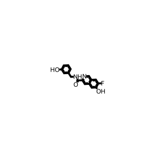 O=C(NCc1cccc(O)c1)c1cc2cc(O)c(F)cc2cn1